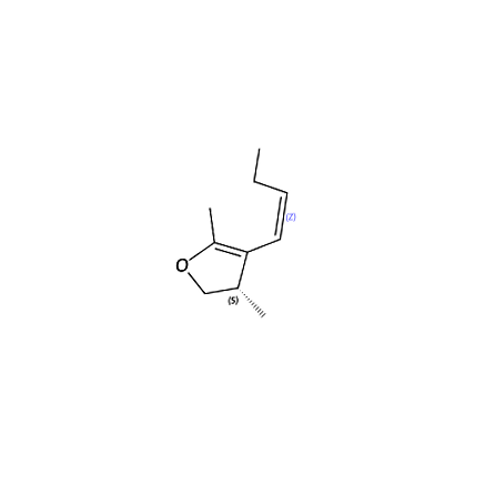 CC/C=C\C1=C(C)OC[C@H]1C